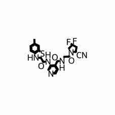 Cc1ccc2c(c1)SC(C(=O)Nc1cnccc1C(=O)NCC(=O)N1CC(F)(F)CC1C#N)N2